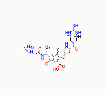 C[C@@H](NC(=O)Cn1cnnn1)[C@H]1C(=O)N2C(C(=O)O)=C(SC3CN[C@H](C(=O)N4C[C@@H]5NC(=N)N[C@@H]5C4)C3)[C@H](C)[C@H]12